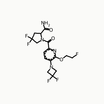 NC(=O)C1CC(F)(F)CN1C(=O)c1ccc(N2CC(F)(F)C2)c(OCCF)n1